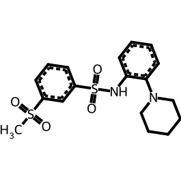 CS(=O)(=O)c1cccc(S(=O)(=O)Nc2ccccc2N2CCCCC2)c1